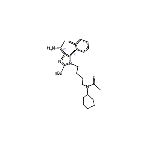 C=C(C)N(CCCCn1c(CCCC)nc(=C(/C)N)/c1=c1/ccccc1=C)C1CCCCC1